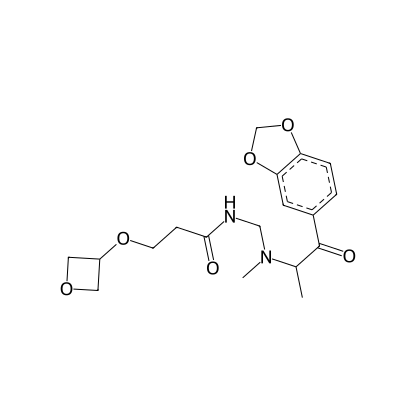 CC(C(=O)c1ccc2c(c1)OCO2)N(C)CNC(=O)CCOC1COC1